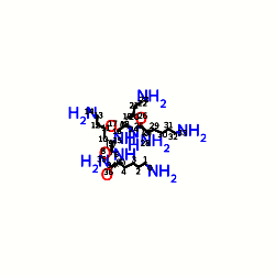 NCCCC[C@H](NC(=O)[C@H](CCCCN)NC(=O)[C@H](CCCCN)NC(=O)[C@@H](N)CCCCN)C(N)=O